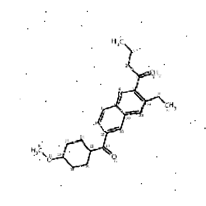 C=C(CCC)c1nc2ccc(C(=O)C3CCC(OC)CC3)cc2cc1CC